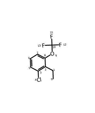 CCc1c(Cl)cccc1OC(F)(F)F